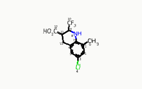 Cc1cc(Cl)cc2c1NC(C(F)(F)F)C(C(=O)O)C2